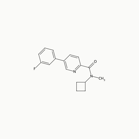 CN(C(=O)c1ccc(-c2cccc(F)c2)cn1)C1CCC1